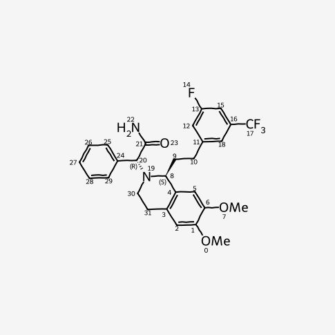 COc1cc2c(cc1OC)[C@H](CCc1cc(F)cc(C(F)(F)F)c1)N([C@@H](C(N)=O)c1ccccc1)CC2